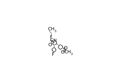 CCCC#CCn1ncc(-c2ccc(S(C)(=O)=O)cc2)c(-c2ccc(F)cc2)c1=O